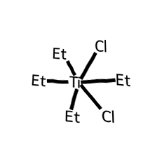 C[CH2][Ti]([Cl])([Cl])([CH2]C)([CH2]C)[CH2]C